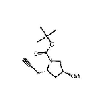 C#CC[C@H]1C[C@H](O)CN1C(=O)OC(C)(C)C